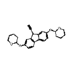 C#CC1c2cc(OC3CCCCO3)ccc2-c2ccc(OC3CCCCO3)cc21